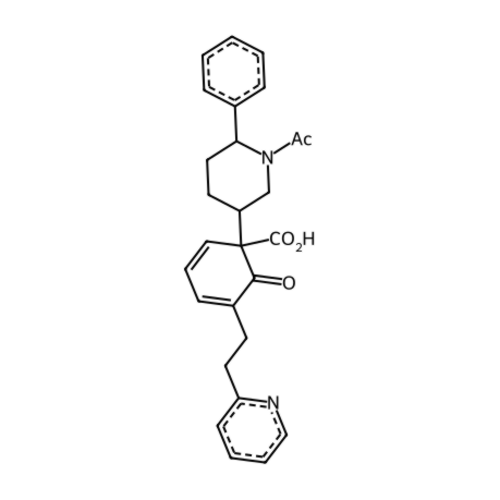 CC(=O)N1CC(C2(C(=O)O)C=CC=C(CCc3ccccn3)C2=O)CCC1c1ccccc1